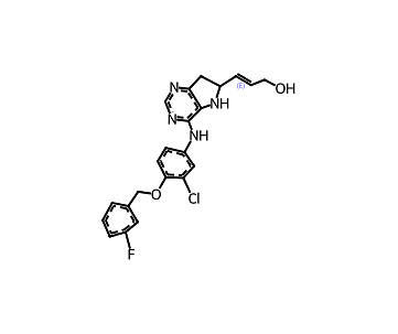 OC/C=C/C1Cc2ncnc(Nc3ccc(OCc4cccc(F)c4)c(Cl)c3)c2N1